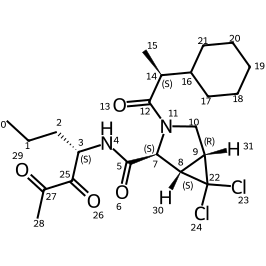 CCC[C@H](NC(=O)[C@@H]1[C@@H]2[C@H](CN1C(=O)[C@@H](C)C1CCCCC1)C2(Cl)Cl)C(=O)C(C)=O